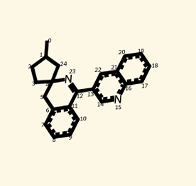 CC1CCC2(Cc3ccccc3C(c3cnc4ccccc4c3)=N2)C1